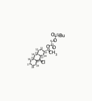 CCC(C)C(=O)OCC(=O)OC(C)c1ccc2cc3ccccc3c(Cl)c2c1